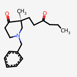 CCCC(=O)CC[C@@]1(C)CN(Cc2ccccc2)CCC1=O